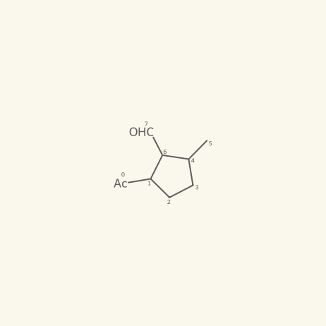 CC(=O)C1CCC(C)C1C=O